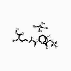 CC(C)N(CCONC(=O)[C@@H]1CC[C@@H]2CN1C(=O)N2OS(=O)(=O)[O-])C(=O)OC(C)(C)C.CCCC[N+](CCCC)(CCCC)CCCC